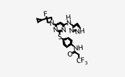 O=C(CC(F)(F)F)Nc1ccc(Sc2nc(Nc3cc[nH]n3)cc(N3CC(F)(C4CC4)C3)n2)cc1